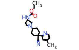 CCOC(=O)N[C@@H]1CCN(C2CCC(C#N)(c3cc(C)ccn3)CC2)C1